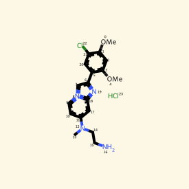 COc1cc(OC)c(-c2cn3ccc(N(C)CCN)cc3n2)cc1Cl.Cl